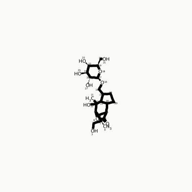 C[C@H](CO)C1C2C(=O)OC1C(C)(O)C1C(CO[C@@H]3O[C@H](CO)[C@@H](O)[C@H](O)[C@H]3O)CCC21